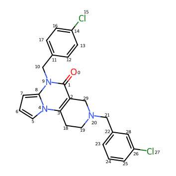 O=c1c2c(n3cccc3n1Cc1ccc(Cl)cc1)CCN(Cc1cccc(Cl)c1)C2